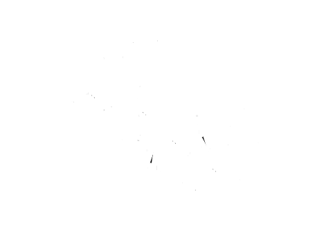 C[C@H](NC(=O)[C@@](F)(N(F)F)C(C)(F)C(F)F)C(=O)NC1=C2C=CCCC2CCN(C)C1=O